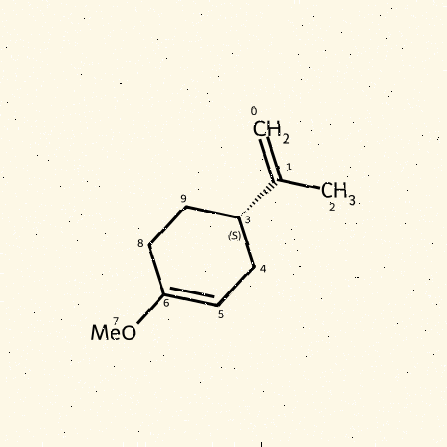 C=C(C)[C@@H]1CC=C(OC)CC1